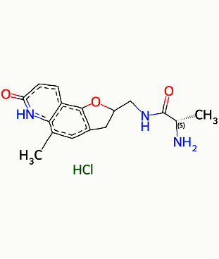 Cc1cc2c(c3ccc(=O)[nH]c13)OC(CNC(=O)[C@H](C)N)C2.Cl